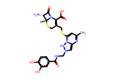 CC1=NC2=CN(CNC(=O)c3ccc(O)c(O)c3)NN2C(SCC2=C(C(=O)O)N3C(=O)[C@@H](N)[C@H]3SC2)=C1